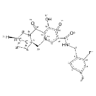 O=C(NCc1ccc(F)cc1F)c1cn2c(c(O)c1=O)C(=O)N1C[C@H]3CC[C@@]1(CC3)C2